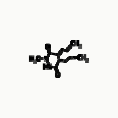 C=C/C=c1/c(=O)[nH]n(C)c(=O)/c1=C/C=C